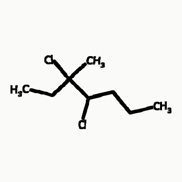 CCCC(Cl)C(C)(Cl)CC